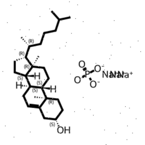 CC(C)CCC[C@@H](C)[C@H]1CC[C@H]2[C@@H]3CC=C4C[C@@H](O)CC[C@]4(C)[C@H]3CC[C@]12C.O=P([O-])([O-])[O-].[Na+].[Na+].[Na+]